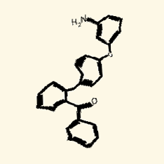 Nc1cccc(Oc2ccc(-c3ccccc3C(=O)c3ccccc3)cc2)c1